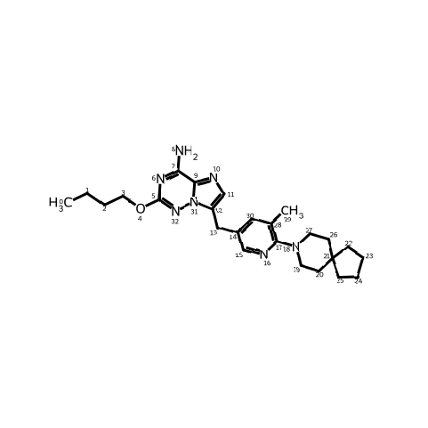 CCCCOc1nc(N)c2ncc(Cc3cnc(N4CCC5(CCCC5)CC4)c(C)c3)n2n1